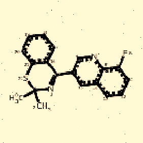 CC1(C)N=C(c2cnc3c(F)cccc3c2)c2ccccc2S1